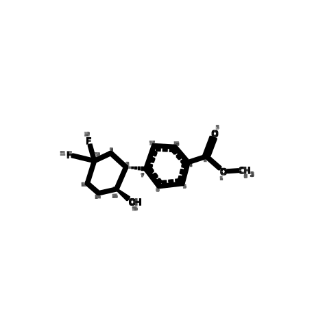 COC(=O)c1ccc([C@H]2CC(F)(F)CC[C@@H]2O)cc1